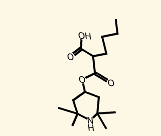 CCCCC(C(=O)O)C(=O)OC1CC(C)(C)NC(C)(C)C1